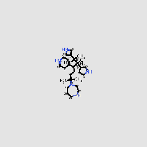 CC(C)(CCC(C1CCNCC1)C(C)(C1CCNC1)C(C)(C)C1CNC1)N1CCCNCC1